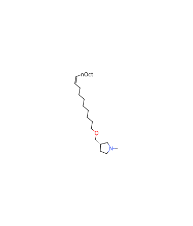 CCCCCCCC/C=C\CCCCCCCCOC[C@H]1CCN(C)C1